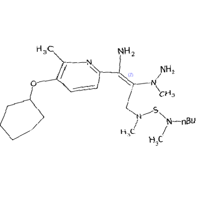 CCCCN(C)SN(C)C/C(=C(/N)c1ccc(OC2CCCCC2)c(C)n1)N(C)N